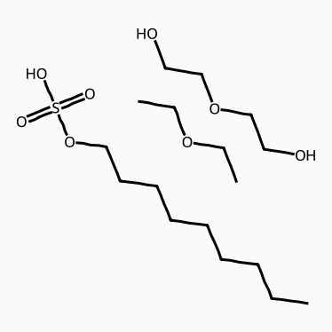 CCCCCCCCCOS(=O)(=O)O.CCOCC.OCCOCCO